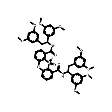 COc1cc(CC(NC(=O)c2cccc3c2S(=O)(=O)c2c(cccc2C(=O)NC(Cc2cc(OC)cc(OC)c2)c2cc(OC)cc(OC)c2)O3)c2cc(OC)cc(OC)c2)cc(OC)c1